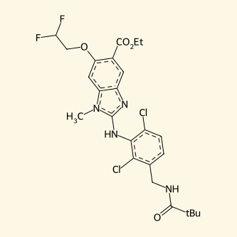 CCOC(=O)c1cc2nc(Nc3c(Cl)ccc(CNC(=O)C(C)(C)C)c3Cl)n(C)c2cc1OCC(F)F